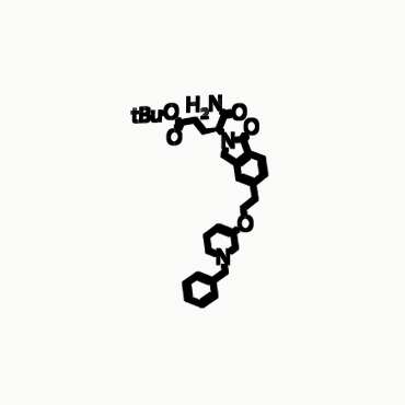 CC(C)(C)OC(=O)CC[C@@H](C(N)=O)N1Cc2cc(CCOC3=CCCN(Cc4ccccc4)C3)ccc2C1=O